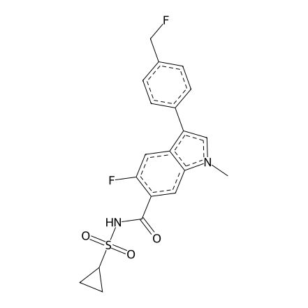 Cn1cc(-c2ccc(CF)cc2)c2cc(F)c(C(=O)NS(=O)(=O)C3CC3)cc21